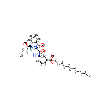 CCCCCCCCCCCCOC(=O)c1cccc(NC(=O)C(Cl)C(=O)c2ccccc2NC(=O)CCC)c1